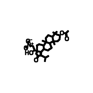 CC(=O)OC1CCC2(C)C(CCC3(C)C4CCC5(C(O)C[N+](=O)[O-])CC(=O)C(C(C)C)=C5C4CCC32)C1(C)C